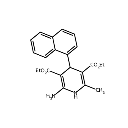 CCOC(=O)C1=C(C)NC(N)=C(C(=O)OCC)C1c1cccc2ccccc12